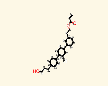 C=CC(=O)OCCc1cccc(-c2ccc(-c3ccc(CCCO)cc3)c(CC)c2)c1